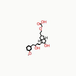 COc1cccc(CC(O)C=C[C@H]2[C@@H]3CC(CCOCC(=O)O)C[C@H]3C[C@@H]2O)c1